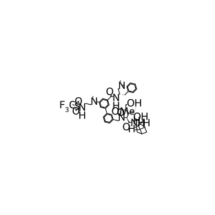 COc1c(CN2O[C@@H](CO)[C@@H]([C@H](C)O)[C@H]2C(=O)N[C@H]2CC3C[C@@H]([C@@H]2C)C3(C)C)cccc1-c1cc(C(=O)N[C@@H](Cc2ccccc2)CN(C)C)cc(N(C)CCNS(=O)(=O)C(F)(F)F)c1